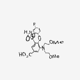 COCCN(CCOC)c1cc(C(=O)O)cc(S(N)(=O)=O)c1Oc1ccc(F)cc1